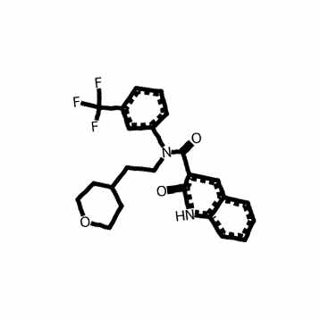 O=C(c1cc2ccccc2[nH]c1=O)N(CCC1CCOCC1)c1cccc(C(F)(F)F)c1